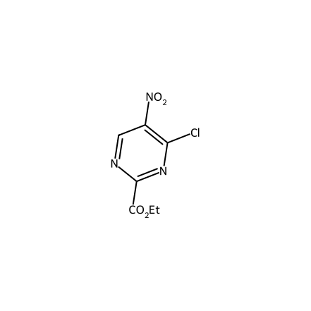 CCOC(=O)c1ncc([N+](=O)[O-])c(Cl)n1